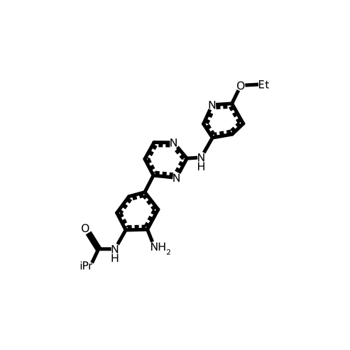 CCOc1ccc(Nc2nccc(-c3ccc(NC(=O)C(C)C)c(N)c3)n2)cn1